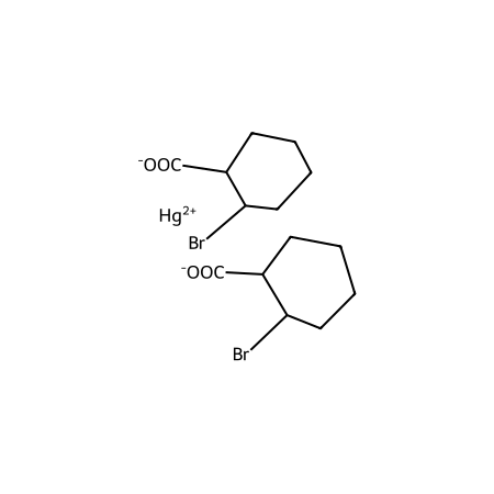 O=C([O-])C1CCCCC1Br.O=C([O-])C1CCCCC1Br.[Hg+2]